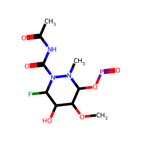 COC1C(O)C(F)N(C(=O)NC(C)=O)N(C)C1OP=O